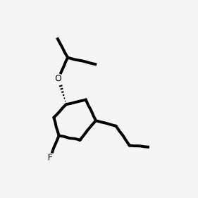 CCCC1CC(F)C[C@H](OC(C)C)C1